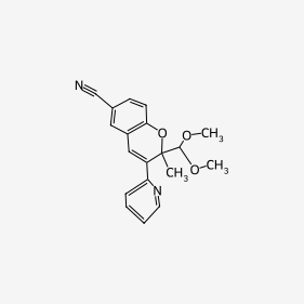 COC(OC)C1(C)Oc2ccc(C#N)cc2C=C1c1ccccn1